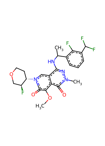 COc1c(=O)n([C@H]2CCOC[C@@H]2F)cc2c(NC(C)c3cccc(C(F)F)c3F)nn(C)c(=O)c12